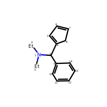 CCN(CC)C(C1=CC=CC1)c1ccccc1